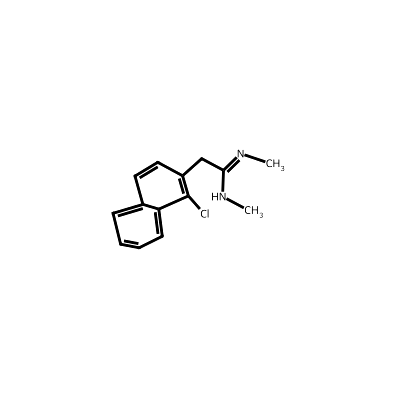 C/N=C(/Cc1ccc2ccccc2c1Cl)NC